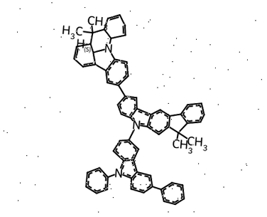 CC1(C)c2ccccc2-c2cc3c4cc(-c5ccc6c(c5)C5=CC=C[C@@H]7C5N6C5C=CC=CC5C7(C)C)ccc4n(-c4ccc5c(c4)c4cc(-c6ccccc6)ccc4n5-c4ccccc4)c3cc21